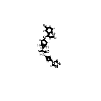 CC(C(=O)NC12CC(n3cnnc3)(C1)C2)[C@@H]1[C@@H]2C[C@@H](Oc3ccnc4ccc(F)cc34)C[C@@H]21